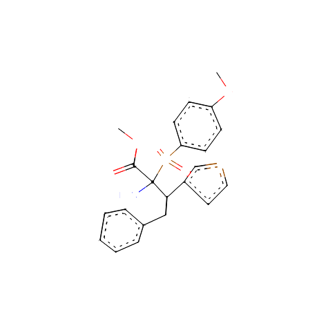 COC(=O)C(N)(C(Cc1ccccc1)c1ccsc1)S(=O)(=O)c1ccc(OC)cc1